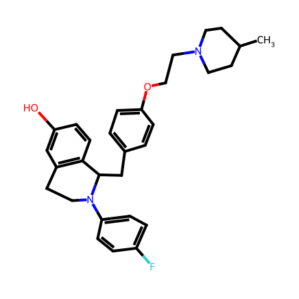 CC1CCN(CCOc2ccc(CC3c4ccc(O)cc4CCN3c3ccc(F)cc3)cc2)CC1